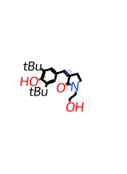 CC(C)(C)c1cc(/C=C2/CCN(CCO)C2=O)cc(C(C)(C)C)c1O